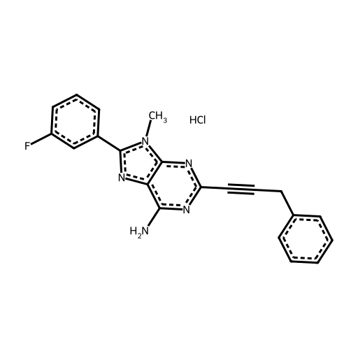 Cl.Cn1c(-c2cccc(F)c2)nc2c(N)nc(C#CCc3ccccc3)nc21